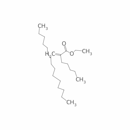 C=C(CCCCC)C(=O)OCC.CCCCCCCCCCCCCCC